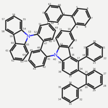 c1ccc(-c2ccccc2-c2ccc3c(c2)c2c(-c4ccccc4)c(-c4ccccc4-c4ccccc4)ccc2n3-c2ccccc2-c2ccccc2-n2c3ccccc3c3ccccc32)cc1